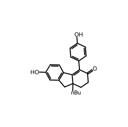 CCCCC12CCC(=O)C(c3ccc(O)cc3)=C1c1ccc(O)cc1C2